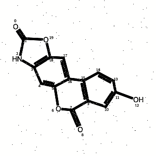 O=c1[nH]c2cc3oc(=O)c4cc(O)ccc4c3cc2o1